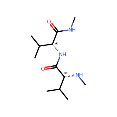 CNC(=O)[C@H](NC(=O)[C@H](NC)C(C)C)C(C)C